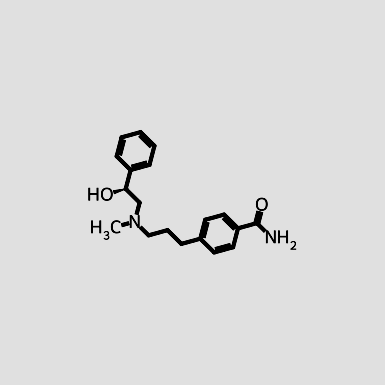 CN(CCCc1ccc(C(N)=O)cc1)C[C@@H](O)c1ccccc1